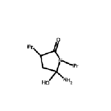 CC(C)C1CC(N)(O)N(C(C)C)C1=O